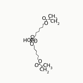 C=C(C)C(=O)OCCCCCCOP(=O)(O)OCCCCCCOC(=O)C(=C)C